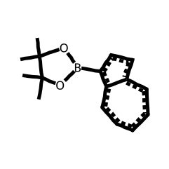 CC1(C)OB(c2ccc3cccccc2-3)OC1(C)C